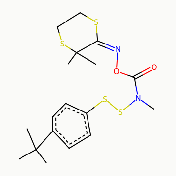 CN(SSc1ccc(C(C)(C)C)cc1)C(=O)ON=C1SCCSC1(C)C